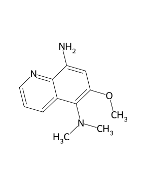 COc1cc(N)c2ncccc2c1N(C)C